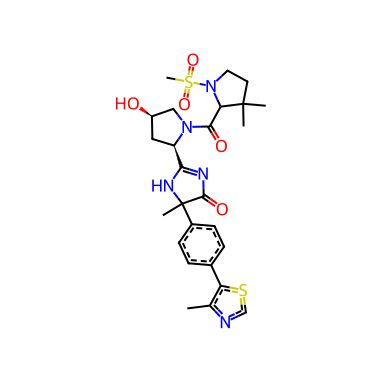 Cc1ncsc1-c1ccc(C2(C)NC([C@H]3C[C@@H](O)CN3C(=O)C3N(S(C)(=O)=O)CCC3(C)C)=NC2=O)cc1